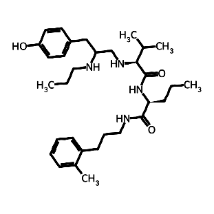 CCCNC(CN[C@H](C(=O)N[C@@H](CCC)C(=O)NCCCc1ccccc1C)C(C)C)Cc1ccc(O)cc1